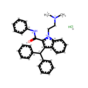 CN(C)CCn1c(C(=O)Nc2ccccc2)c(C(c2ccccc2)c2ccccc2)c2ccccc21.Cl